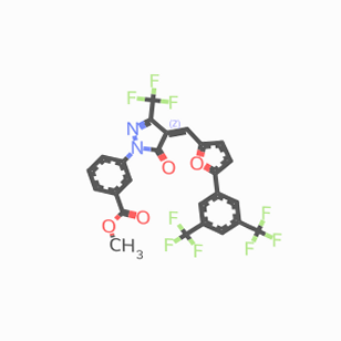 COC(=O)c1cccc(N2N=C(C(F)(F)F)/C(=C/c3ccc(-c4cc(C(F)(F)F)cc(C(F)(F)F)c4)o3)C2=O)c1